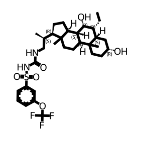 CC[C@H]1[C@@H](O)[C@H]2[C@@H]3CC[C@H]([C@H](C)CNC(=O)NS(=O)(=O)c4cccc(OC(F)(F)F)c4)C3(C)CC[C@@H]2C2(C)CC[C@@H](O)C[C@@H]12